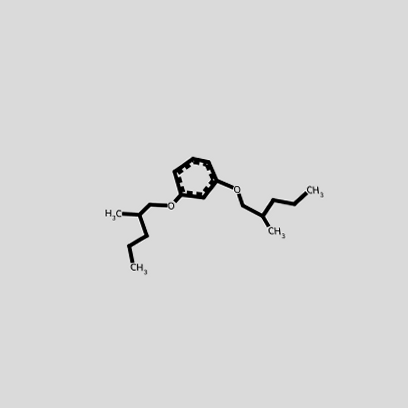 CCCC(C)COc1cccc(OCC(C)CCC)c1